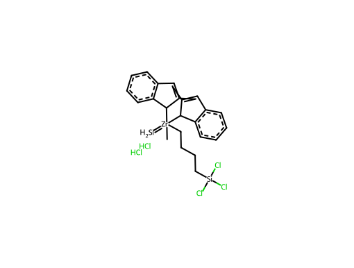 CC1=Cc2ccccc2[CH]1[Zr]([CH3])(=[SiH2])([CH2]CCC[Si](Cl)(Cl)Cl)[CH]1C(C)=Cc2ccccc21.Cl.Cl